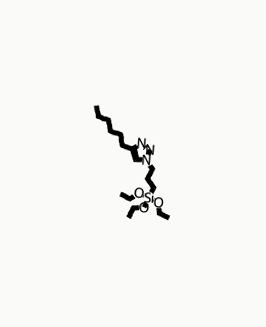 CCCCCCc1cn(CCC[Si](OCC)(OCC)OCC)nn1